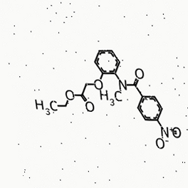 CCOC(=O)COc1ccccc1N(C)C(=O)c1ccc([N+](=O)[O-])cc1